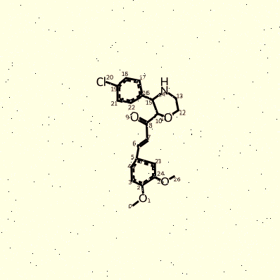 COc1ccc(C=CC(=O)C2OCCNC2c2ccc(Cl)cc2)cc1OC